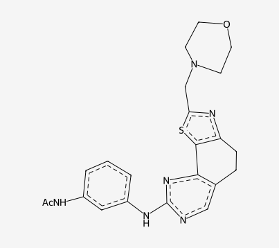 CC(=O)Nc1cccc(Nc2ncc3c(n2)-c2sc(CN4CCOCC4)nc2CC3)c1